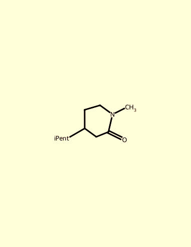 CCCC(C)C1CCN(C)C(=O)C1